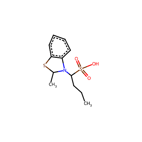 CCCC(N1c2ccccc2SC1C)S(=O)(=O)O